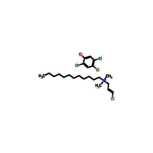 CCCCCCCCCCCC[N+](C)(C)CC=CCl.[O-]c1cc(Cl)c(Cl)cc1Cl